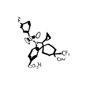 O=C(O)c1ccc2c(c1)C1(CCC(O)(C(F)(F)F)CC1)C(C1CC1)N2S(=O)(=O)c1ccc(F)cc1